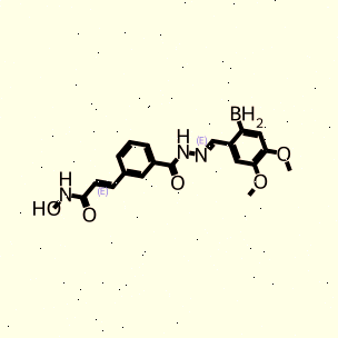 Bc1cc(OC)c(OC)cc1/C=N/NC(=O)c1cccc(/C=C/C(=O)NO)c1